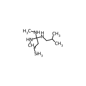 CNC(CC[SiH3])(NC)NCC(C)C